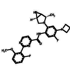 COc1cccc(F)c1-c1nccc(C(=O)Nc2cc(F)c(N3CCC3)cc2N2C[C@H]3NC3[C@@H]2C)n1